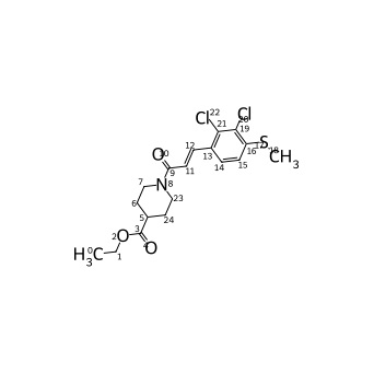 CCOC(=O)C1CCN(C(=O)/C=C/c2ccc(SC)c(Cl)c2Cl)CC1